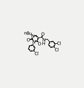 CCCCn1cc(C(=O)NCc2ccc(Cl)c(Cl)c2)c(=O)n(-c2cccc(Cl)c2)c1=O